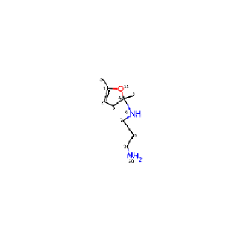 CC1=CCC(C)(NCCCN)O1